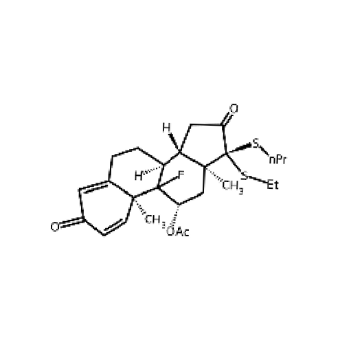 CCCS[C@]1(SCC)C(=O)C[C@H]2[C@@H]3CCC4=CC(=O)C=C[C@]4(C)C3(F)[C@@H](OC(C)=O)C[C@@]21C